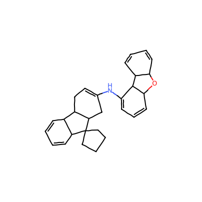 C1=CC2OC3C=CC=C(NC4=CCC5C6C=CC=CC6C6(CCCC6)C5C4)C3C2C=C1